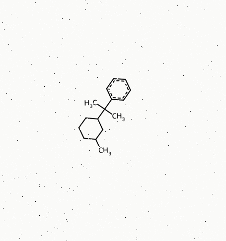 CC1CCCC(C(C)(C)c2ccccc2)C1